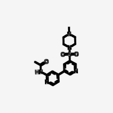 CC(=O)Nc1cc(-c2cncc(S(=O)(=O)N3CCN(C)CC3)c2)ccn1